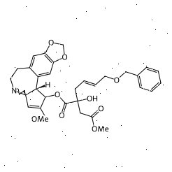 COC(=O)CC(O)(C/C=C/COCc1ccccc1)C(=O)OC1C(OC)=C[C@]23CCCN2CCc2cc4c(cc2[C@H]13)OCO4